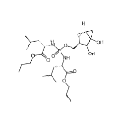 CCCOC(=O)[C@H](CC(C)C)NP(=O)(N[C@@H](CC(C)C)C(=O)OCCC)OC[C@H]1O[C@H]2CC2(O)C1O